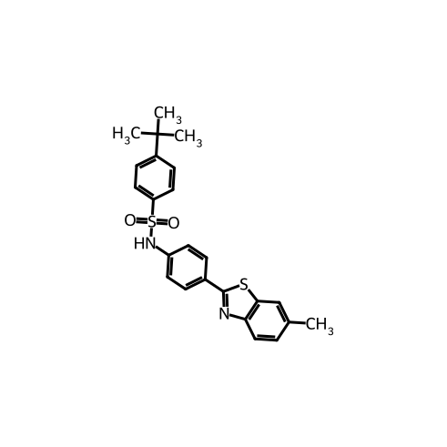 Cc1ccc2nc(-c3ccc(NS(=O)(=O)c4ccc(C(C)(C)C)cc4)cc3)sc2c1